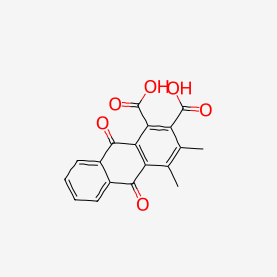 Cc1c(C)c2c(c(C(=O)O)c1C(=O)O)C(=O)c1ccccc1C2=O